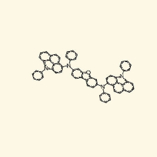 c1ccc(N(c2ccc3c(c2)oc2cc(N(c4ccccc4)c4ccc5c6c4ccc4cccc(c46)n5-c4ccccc4)ccc23)c2ccc3c4c2ccc2cccc(c24)n3-c2ccccc2)cc1